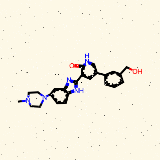 CN1CCN(c2ccc3[nH]c(-c4cc(-c5cccc(CO)c5)c[nH]c4=O)nc3c2)CC1